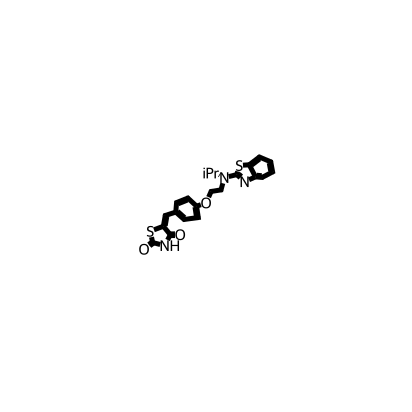 CC(C)N(CCOc1ccc(/C=C2/SC(=O)NC2=O)cc1)c1nc2ccccc2s1